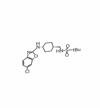 CC(C)(C)S(=O)(=O)NC[C@H]1CC[C@H](Nc2nc3ccc(Cl)cc3o2)CC1